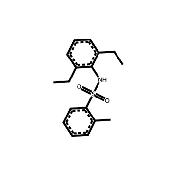 CCc1cccc(CC)c1NS(=O)(=O)c1ccccc1C